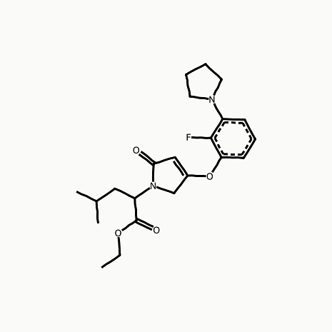 CCOC(=O)C(CC(C)C)N1CC(Oc2cccc(N3CCCC3)c2F)=CC1=O